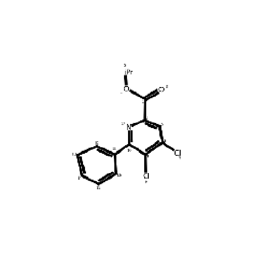 CC(C)OC(=O)c1cc(Cl)c(Cl)c(-c2ccccc2)n1